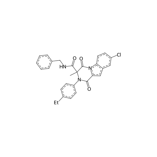 CCc1ccc(N2C(=O)c3cc4cc(Cl)ccc4n3C(=O)C2(C)C(=O)NCc2ccccc2)cc1